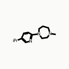 CC(C)c1ccc(N2CCCN(C)CC2)nc1